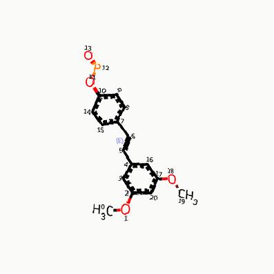 COc1cc(/C=C/c2ccc(OP=O)cc2)cc(OC)c1